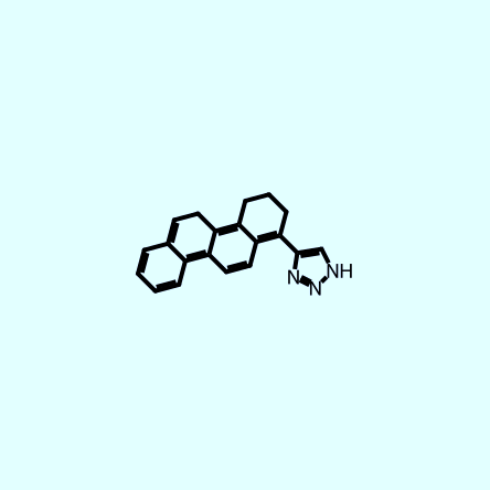 C1=c2ccccc2=c2ccc3c(c2C1)CCCC=3c1c[nH]nn1